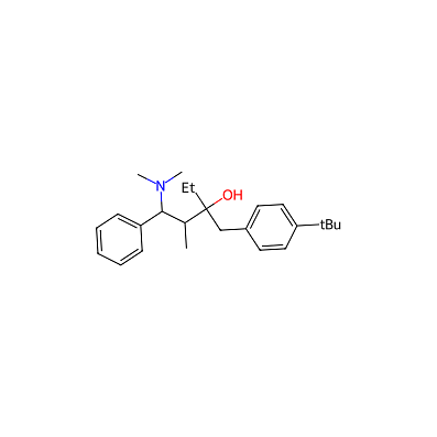 CCC(O)(Cc1ccc(C(C)(C)C)cc1)C(C)C(c1ccccc1)N(C)C